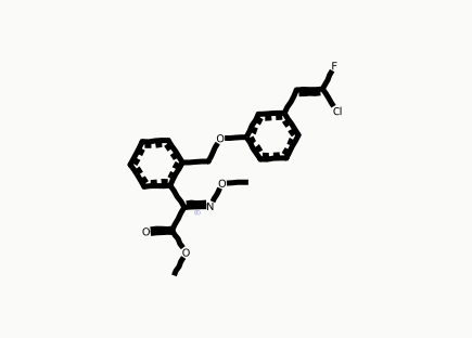 CO/N=C(/C(=O)OC)c1ccccc1COc1cccc(C=C(F)Cl)c1